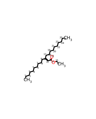 CCCCCCCCCCC(=CC(=O)OCC)CCCCCCCCCC